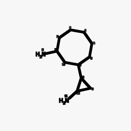 NC1CCCCCC(C2CC2N)C1